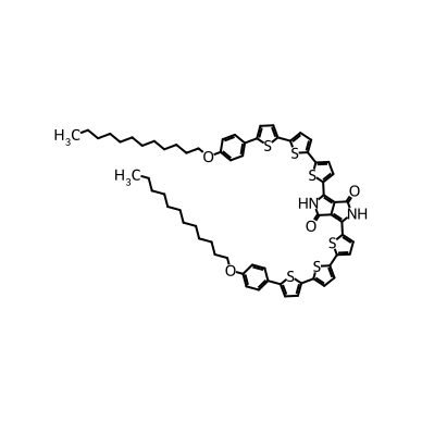 CCCCCCCCCCCCOc1ccc(-c2ccc(-c3ccc(-c4ccc(C5=C6C(=O)NC(c7ccc(-c8ccc(-c9ccc(-c%10ccc(OCCCCCCCCCCCC)cc%10)s9)s8)s7)=C6C(=O)N5)s4)s3)s2)cc1